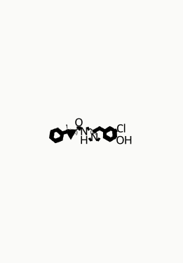 CN(C)[C@H](CNC(=O)[C@@H]1C[C@@]1(C)c1ccccc1)Cc1ccc(O)c(Cl)c1